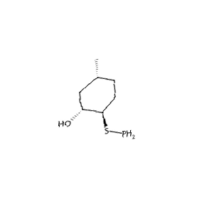 C[C@@H]1CC[C@@H](SP)[C@H](O)C1